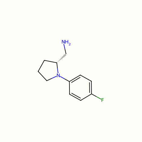 NC[C@H]1CCCN1c1ccc(F)cc1